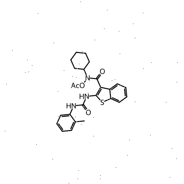 CC(=O)ON(C(=O)c1c(NC(=O)Nc2ccccc2C)sc2ccccc12)C1CCCCC1